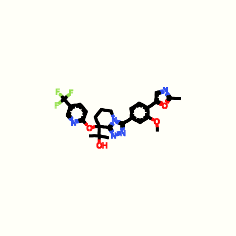 COc1cc(-c2nnc3n2CCCC3(Oc2ccc(C(F)(F)F)cn2)C(C)(C)O)ccc1-c1cnc(C)o1